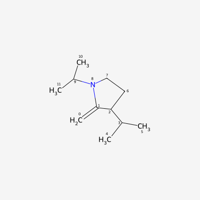 C=C1C(C(C)C)CCN1C(C)C